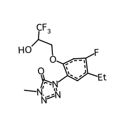 CCc1cc(-n2nnn(C)c2=O)c(OCC(O)C(F)(F)F)cc1F